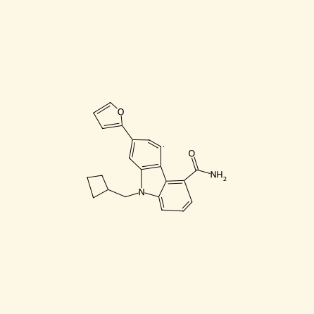 NC(=O)c1cccc2c1c1[c]cc(-c3ccco3)cc1n2CC1CCC1